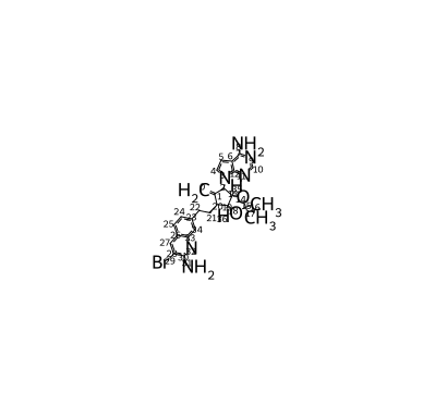 C=C1[C@@H](n2ccc3c(N)ncnc32)[C@@H]2OC(C)(C)O[C@@H]2[C@H]1CCc1ccc2cc(Br)c(N)nc2c1